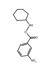 O=C(ONC1CCCCC1)c1cccc([N+](=O)[O-])c1